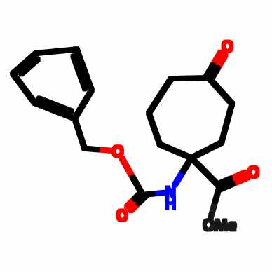 COC(=O)C1(NC(=O)OCc2ccccc2)CCCC(=O)CC1